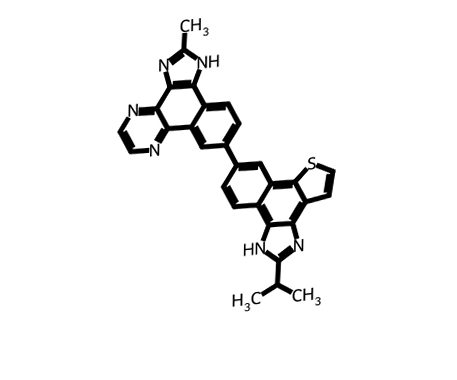 Cc1nc2c3nccnc3c3cc(-c4ccc5c(c4)c4sccc4c4nc(C(C)C)[nH]c54)ccc3c2[nH]1